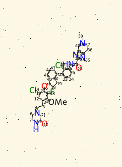 COc1c(CCN2CCNC(=O)C2)cc(Cl)c(OC2CCc3c(-c4cccc(NC(=O)c5nc6c(n5C)CCN(C)C6)c4Cl)cccc32)c1F